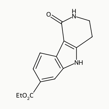 CCOC(=O)c1ccc2c3c([nH]c2c1)CCNC3=O